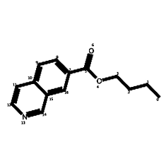 CCCCOC(=O)c1ccc2ccncc2c1